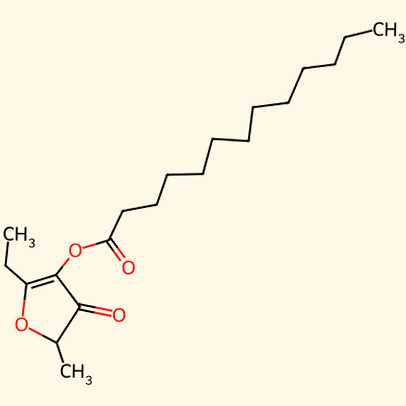 CCCCCCCCCCCCC(=O)OC1=C(CC)OC(C)C1=O